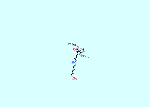 CCCCCCCCOC(=O)C(C)(CCCCCCNCCCCCCO)C(=O)OCCCCCCCC